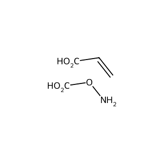 C=CC(=O)O.NOC(=O)O